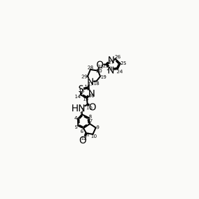 O=C(Nc1ccc2c(c1)CCC2=O)c1csc(N2CCC(Oc3ncccn3)CC2)n1